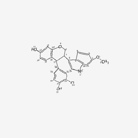 COc1ccc2c(C3COc4cc(O)ccc4C3c3ccc(O)c(Cl)c3)c[nH]c2c1